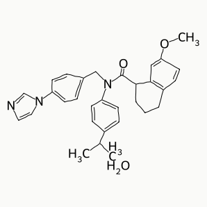 COc1ccc2c(c1)C(C(=O)N(Cc1ccc(-n3ccnc3)cc1)c1ccc(C(C)C)cc1)CCC2.O